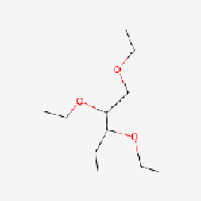 CCOCC(OCC)C(CC)OCC